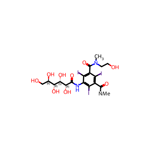 CNC(=O)c1c(I)c(NC(=O)[C@H](O)[C@@H](O)[C@H](O)[C@H](O)CO)c(I)c(C(=O)N(C)CCO)c1I